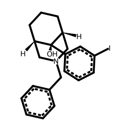 O[C@]1(c2cccc(I)c2)[C@@H]2CCC[C@H]1CN(Cc1ccccc1)C2